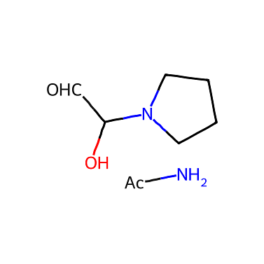 CC(N)=O.O=CC(O)N1CCCC1